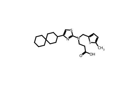 Cc1ccc(CN(CCC(=O)O)c2nc(C3CCC4(CCCCC4)CC3)cs2)s1